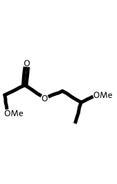 COCC(=O)OCC(C)OC